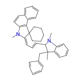 CN1/C(=C/C=C/C2N(C)c3ccccc3C2(C)Cc2ccccc2)C2(CCCCC2)c2c1ccc1ccccc21